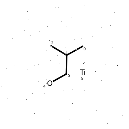 CC(C)C[O].[Ti]